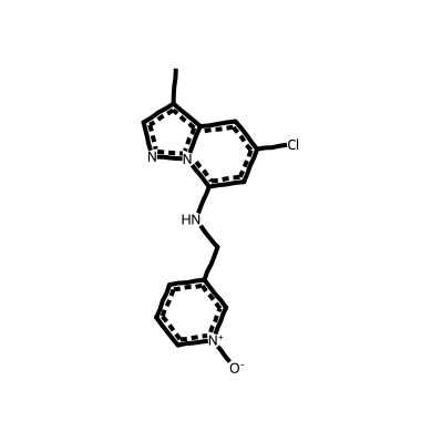 Cc1cnn2c(NCc3ccc[n+]([O-])c3)cc(Cl)cc12